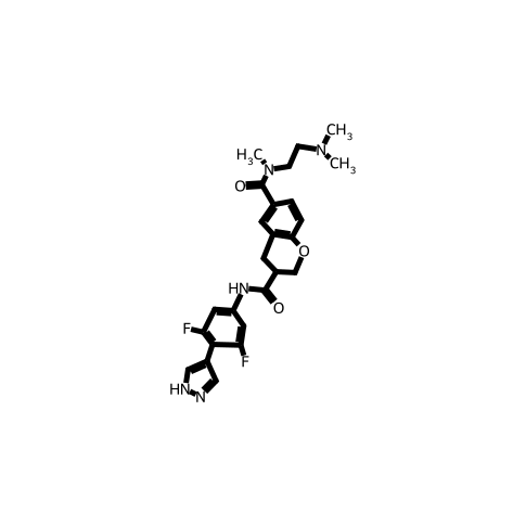 CN(C)CCN(C)C(=O)c1ccc2c(c1)CC(C(=O)Nc1cc(F)c(-c3cn[nH]c3)c(F)c1)CO2